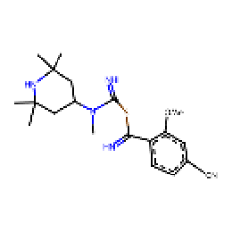 COc1cc(C#N)ccc1C(=N)SC(=N)N(C)C1CC(C)(C)NC(C)(C)C1